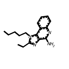 CCCCCn1c(CC)nc2c(N)nc3ccccc3c21